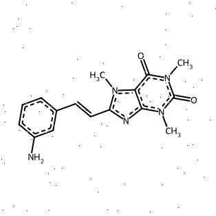 Cn1c(=O)c2c(nc(C=Cc3cccc(N)c3)n2C)n(C)c1=O